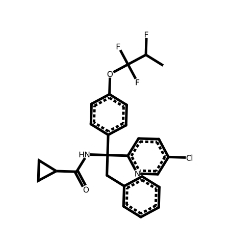 CC(F)C(F)(F)Oc1ccc(C(Cc2ccccc2)(NC(=O)C2CC2)c2ccc(Cl)cn2)cc1